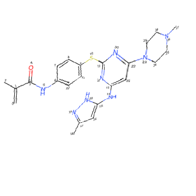 C=C(C)C(=O)Nc1ccc(Sc2nc(Nc3cc(C)n[nH]3)cc(N3CCN(C)CC3)n2)cc1